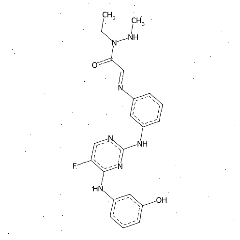 CCN(NC)C(=O)C=Nc1cccc(Nc2ncc(F)c(Nc3cccc(O)c3)n2)c1